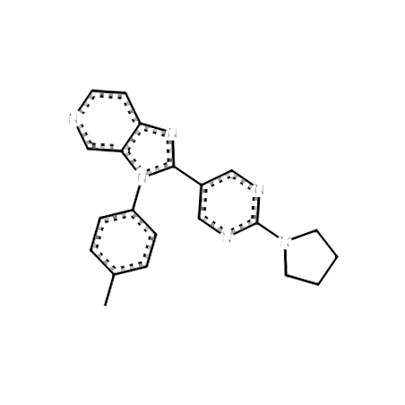 Cc1ccc(-n2c(-c3cnc(N4CCCC4)nc3)nc3ccncc32)cc1